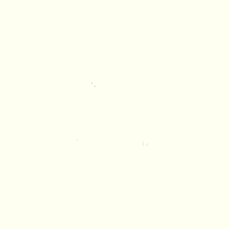 Oc1ccnc2cc(Cl)c(Br)cc12